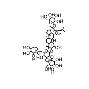 CCO[C@@H]1C[C@@H]2[C@@]3(C)C[C@@H](O)[C@H](O[C@@H]4O[C@H](COC5OCC(O)C(O)C5O)[C@@H](O)[C@H](O)[C@H]4O[C@@H]4O[C@H](CO)[C@@H](O)[C@H](O)[C@H]4O)C(C)(C)C3CC[C@@]2(C)[C@]2(C)CC[C@H](C(C)(CCC=C(C)C)O[C@@H]3O[C@H](CO)[C@@H](O)[C@H](O)[C@H]3O)[C@@]12C